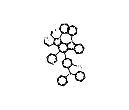 C=Cc1c(/C=C\C)c2c(-c3cccnc3)c(-c3ccc(N(c4ccccc4)c4ccccc4)c(C)c3)c3c4ccccc4n(-c4ccccc4)c3c2n1-c1ccccc1